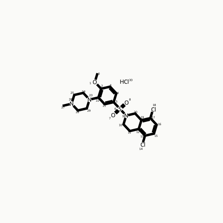 COc1ccc(S(=O)(=O)N2CCc3c(Cl)ccc(Cl)c3C2)cc1N1CCN(C)CC1.Cl